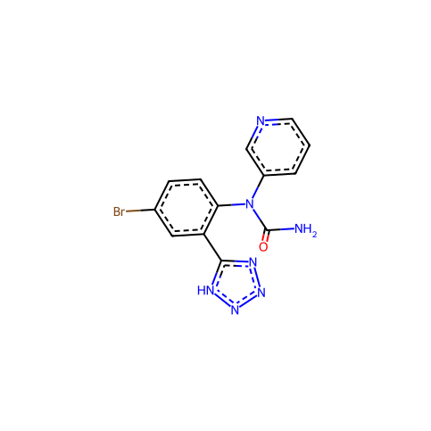 NC(=O)N(c1cccnc1)c1ccc(Br)cc1-c1nnn[nH]1